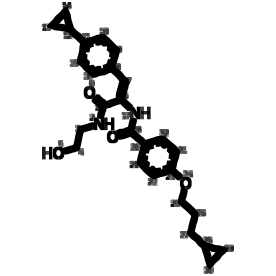 O=C(NCCO)/C(=C\c1ccc(C2CC2)cc1)NC(=O)c1ccc(OCCCC2CC2)cc1